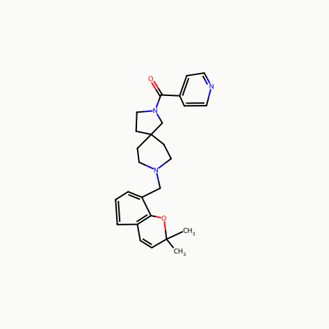 CC1(C)C=Cc2cccc(CN3CCC4(CC3)CCN(C(=O)c3ccncc3)C4)c2O1